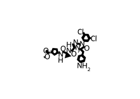 COC(=O)[C@H]1CC[C@@H](NC(=O)C2(NC(=O)c3cnc4n3[C@](C)(Cc3ccc(N)cc3)C(=O)N4c3cc(Cl)cc(Cl)c3)CC2)C1